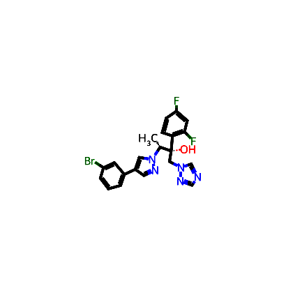 C[C@@H](n1cc(-c2cccc(Br)c2)cn1)[C@](O)(Cn1cncn1)c1ccc(F)cc1F